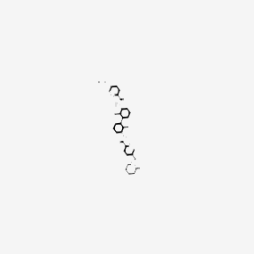 Cc1c(NC(=O)c2ccc(CN3CCCCC3C(=O)O)cn2)cccc1-c1cccc(NC(=O)c2ccc(C=O)cn2)c1Cl